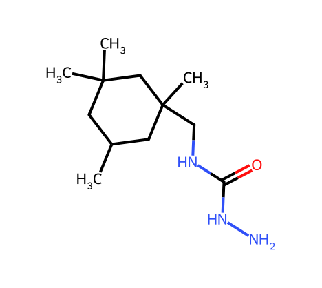 CC1CC(C)(C)CC(C)(CNC(=O)NN)C1